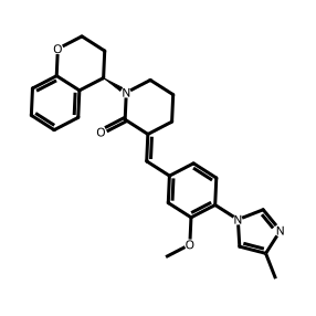 COc1cc(/C=C2\CCCN([C@@H]3CCOc4ccccc43)C2=O)ccc1-n1cnc(C)c1